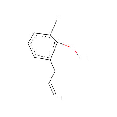 C=CCc1cccc(C)c1OC